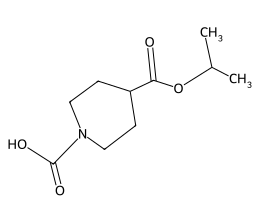 CC(C)OC(=O)C1CCN(C(=O)O)CC1